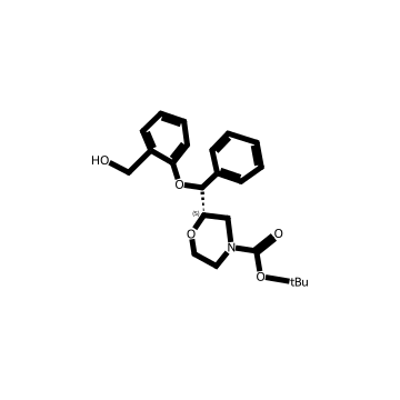 CC(C)(C)OC(=O)N1CCO[C@H](C(Oc2ccccc2CO)c2ccccc2)C1